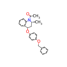 CC(=O)N1c2ccccc2[C@H](Oc2ccc(OCc3ccccc3)cc2)C[C@@H]1C